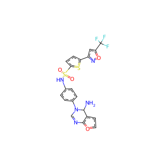 NC1c2ccoc2N=CN1c1ccc(NS(=O)(=O)c2ccc(-c3cc(C(F)(F)F)on3)s2)cc1